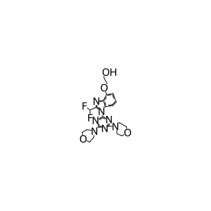 OCCOc1cccc2c1nc(C(F)F)n2-c1nc(N2CCOCC2)nc(N2CCOCC2)n1